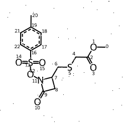 COC(=O)CSCC1CC(=O)N1OS(=O)(=O)c1ccc(C)cc1